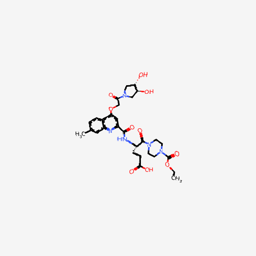 CCOC(=O)N1CCN(C(=O)[C@H](CCC(=O)O)NC(=O)c2cc(OCC(=O)N3C[C@H](O)[C@@H](O)C3)c3ccc(C)cc3n2)CC1